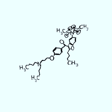 CCCCc1oc2ccc(N(S(C)(=O)=O)S(C)(=O)=O)cc2c1C(=O)c1ccc(OCCCN(CCCC)CCCC)cc1